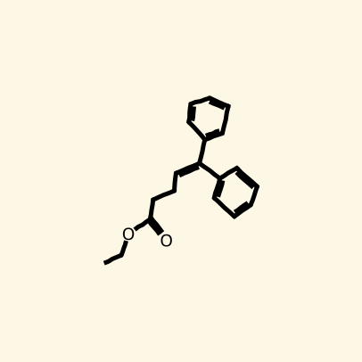 CCOC(=O)CCC=C(c1ccccc1)c1ccccc1